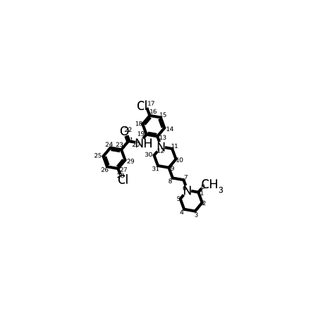 CC1CCCCN1CCC1CCN(c2ccc(Cl)cc2NC(=O)c2cccc(Cl)c2)CC1